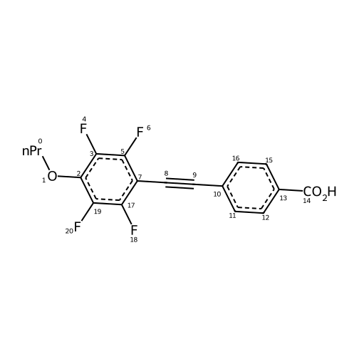 CCCOc1c(F)c(F)c(C#Cc2ccc(C(=O)O)cc2)c(F)c1F